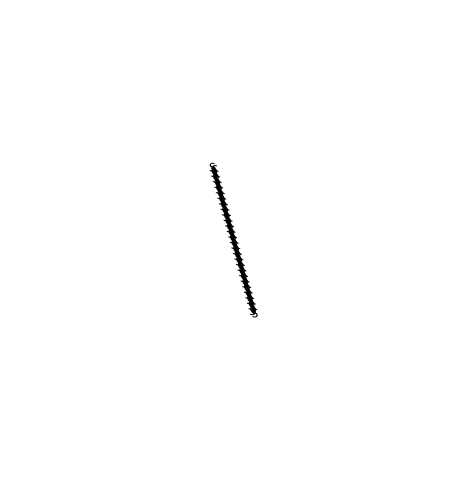 S=S=S=S=S=S=S=S=S=S=S=S=S=S=S=S=S=S=S=S=S=S=S=S=S=S=S=S=S=S=S=S=S=S=S=S=S=S=S=S=S=S=S=S=S=S=S=S=S=S=S=S=S=S